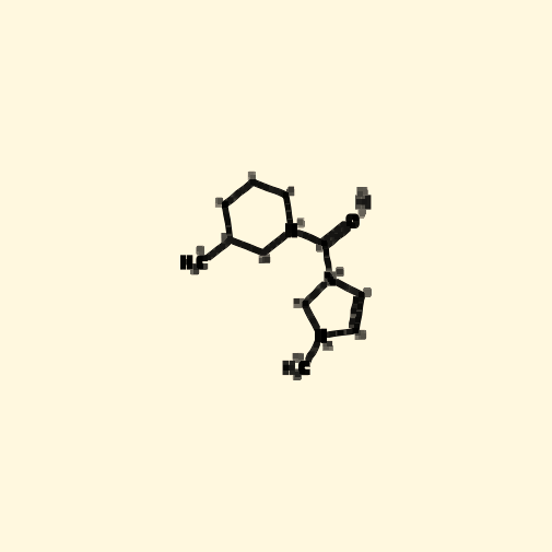 CC1CCCN(C(=O)N2C=CN(C)C2)C1.I